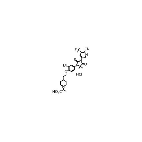 CCc1cc(N2C(=S)N(c3cnc(C#N)c(C(F)(F)F)c3)C(=O)C2(C)C)ccc1OCCC1CCN([C@@H](C)C(=O)O)CC1.Cl